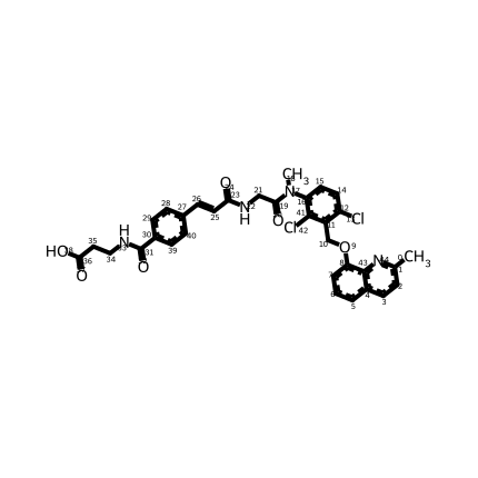 Cc1ccc2cccc(OCc3c(Cl)ccc(N(C)C(=O)CNC(=O)C=Cc4ccc(C(=O)NCCC(=O)O)cc4)c3Cl)c2n1